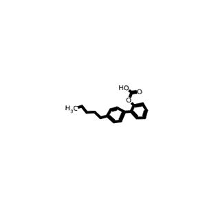 CCCCCc1ccc(-c2ccccc2OC(=O)O)cc1